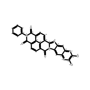 O=C1c2ccc3c(=O)n4c5cc6nc(Cl)c(Cl)nc6cc5nc4c4ccc(c2c34)C(=O)N1c1ccccc1